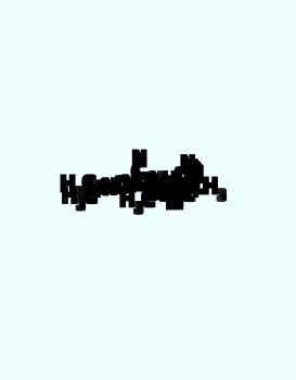 COc1cc(N2CCC(N3CC(N(C)C)C3)CC2)c(CC#N)cc1Nc1ncc(Br)c(Nc2ccc3nccnc3c2P(C)C)n1